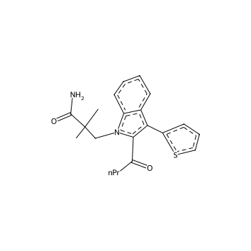 CCCC(=O)c1c(-c2cccs2)c2ccccc2n1CC(C)(C)C(N)=O